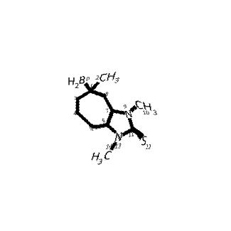 BC1(C)CCCC2C(C1)N(C)C(=S)N2C